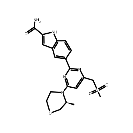 C[C@H]1COCCN1c1cc(CS(C)(=O)=O)nc(-c2ccc3[nH]c(C(N)=O)cc3c2)n1